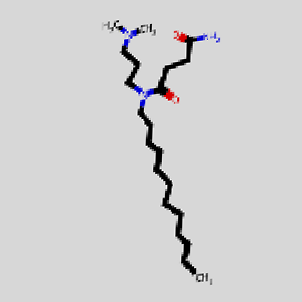 CCCCCCCCCCCCN(CCCN(C)C)C(=O)CCC(N)=O